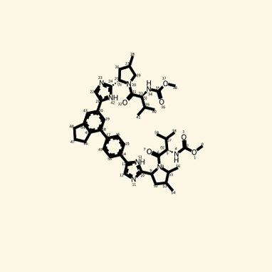 COC(=O)N[C@H](C(=O)N1C(c2ncc(-c3ccc(-c4cc(-c5cnc([C@@H]6CC(C)CN6C(=O)[C@@H](NC(=O)OC)C(C)C)[nH]5)cc5c4CCC5)cc3)[nH]2)CC(C)C1C)C(C)C